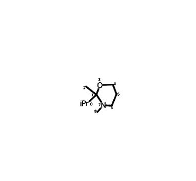 CC(C)C1(C)OCCCN1C